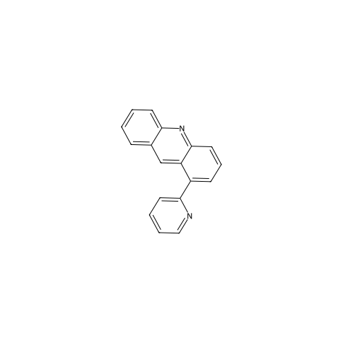 c1ccc(-c2cccc3nc4ccccc4cc23)nc1